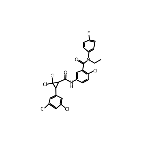 CCN(C(=O)c1cc(NC(=O)C2C(c3cc(Cl)cc(Cl)c3)C2(Cl)Cl)ccc1Cl)c1ccc(F)cc1